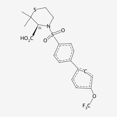 CC1(C)SCCN(S(=O)(=O)c2ccc(-c3ccc(OC(F)(F)F)cc3)cc2)[C@H]1C(=O)O